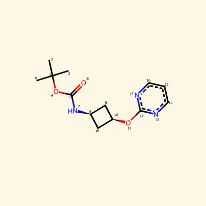 CC(C)(C)OC(=O)N[C@H]1C[C@@H](Oc2ncccn2)C1